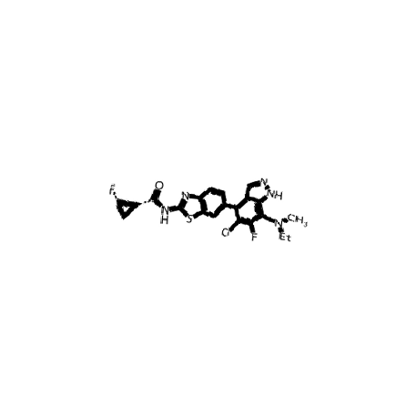 CCN(C)c1c(F)c(Cl)c(-c2ccc3nc(NC(=O)[C@@H]4C[C@@H]4F)sc3c2)c2cn[nH]c12